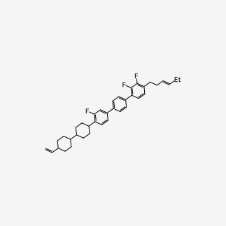 C=CC1CCC(C2CCC(c3ccc(-c4ccc(-c5ccc(CC/C=C/CC)c(F)c5F)cc4)cc3F)CC2)CC1